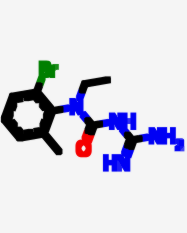 CCN(C(=O)NC(=N)N)c1c(C)cccc1Br